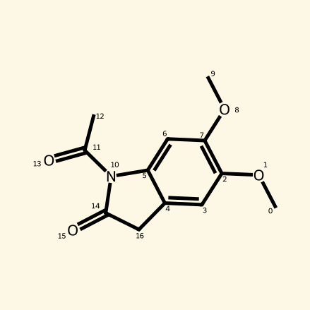 COc1cc2c(cc1OC)N(C(C)=O)C(=O)C2